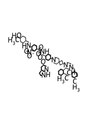 Cc1ccc(CN2CCN(C3CC4(CCN(c5ccc(C(=O)NS(=O)(=O)c6ccc(NCC7CCC(C)(O)CC7)c([N+](=O)[O-])c6)c(Oc6cnc7[nH]ccc7c6)c5)CC4)C3)C(c3ccccc3C(C)C)C2)cc1